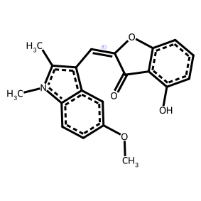 COc1ccc2c(c1)c(/C=C1/Oc3cccc(O)c3C1=O)c(C)n2C